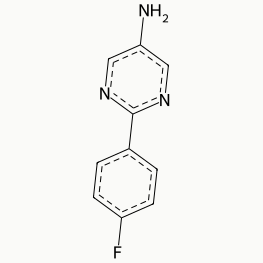 Nc1cnc(-c2ccc(F)cc2)nc1